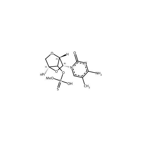 CCC[C@]12CO[C@@H](C1OP(O)(=S)OC)[C@H](n1cc(C)c(N)nc1=O)O2